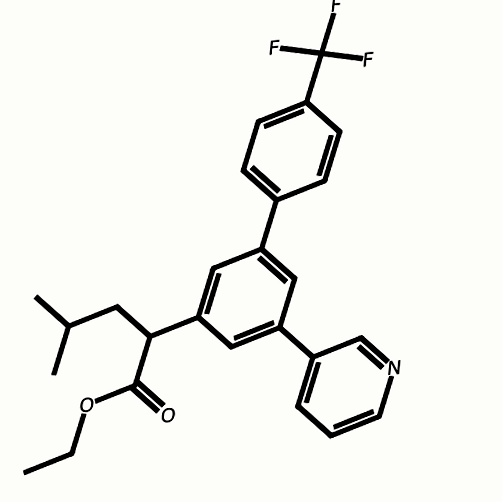 CCOC(=O)C(CC(C)C)c1cc(-c2ccc(C(F)(F)F)cc2)cc(-c2cccnc2)c1